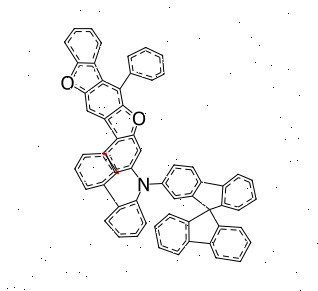 c1ccc(-c2ccccc2N(c2ccc3c(c2)C2(c4ccccc4-c4ccccc42)c2ccccc2-3)c2ccc3c(c2)oc2c(-c4ccccc4)c4c(cc23)oc2ccccc24)cc1